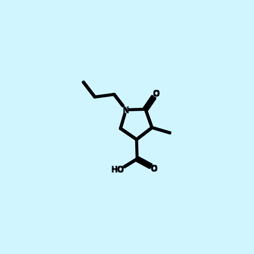 CCCN1CC(C(=O)O)C(C)C1=O